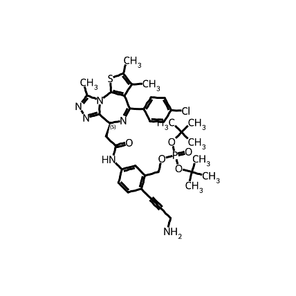 Cc1sc2c(c1C)C(c1ccc(Cl)cc1)=N[C@@H](CC(=O)Nc1ccc(C#CCN)c(COP(=O)(OC(C)(C)C)OC(C)(C)C)c1)c1nnc(C)n1-2